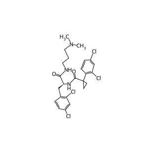 CN(C)CCCNC(=O)[C@H](Cc1ccc(Cl)cc1Cl)NC(=O)C1(c2ccc(Cl)cc2Cl)CC1